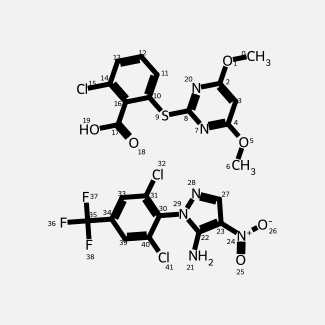 COc1cc(OC)nc(Sc2cccc(Cl)c2C(=O)O)n1.Nc1c([N+](=O)[O-])cnn1-c1c(Cl)cc(C(F)(F)F)cc1Cl